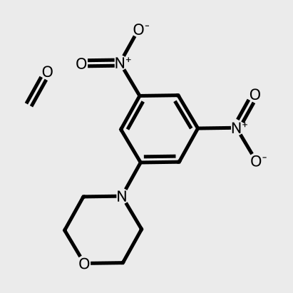 C=O.O=[N+]([O-])c1cc(N2CCOCC2)cc([N+](=O)[O-])c1